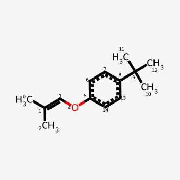 CC(C)=COc1ccc(C(C)(C)C)cc1